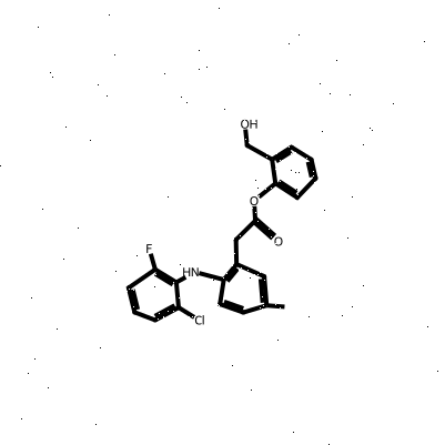 Cc1ccc(Nc2c(F)cccc2Cl)c(CC(=O)Oc2ccccc2CO)c1